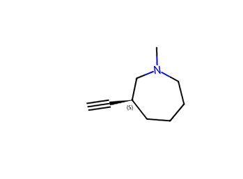 C#C[C@@H]1CCCCN(C)C1